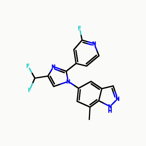 Cc1cc(-n2cc(C(F)F)nc2-c2ccnc(F)c2)cc2cn[nH]c12